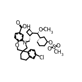 CO[C@H]([C@H]1CCC[C@H](OS(C)(=O)=O)C1)[C@@H]1CC[C@H]1CN1CC2(CCCc3cc(Cl)ccc32)COc2ccc(C(=O)O)cc21